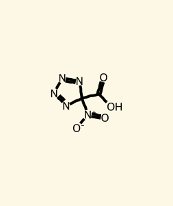 O=C(O)C1([N+](=O)[O-])N=NN=N1